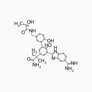 C[C@@H](O)C(=O)NCc1ccc(O)c(-c2cc(C(C)(C)C(N)=O)cc(-c3nc4cc(C(=N)N)ccc4[nH]3)c2O)c1